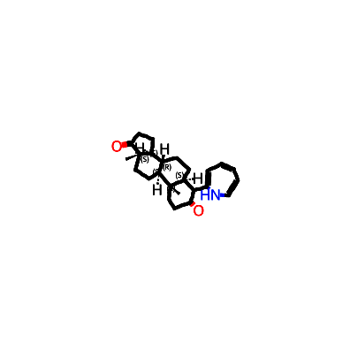 C[C@]12CCC(=O)C(C3=CC=CC=CN3)[C@@H]1CC[C@@H]1[C@@H]2CC[C@]2(C)C(=O)CC[C@@H]12